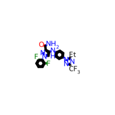 CCc1nc(C(F)(F)F)nn1-c1ccc(Nc2cn(-c3c(F)cccc3F)nc2C(N)=O)cc1